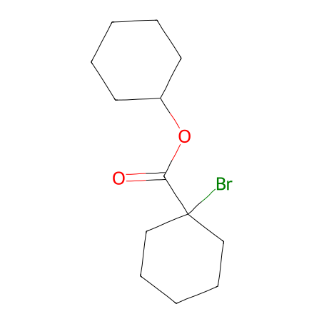 O=C(OC1CCCCC1)C1(Br)CCCCC1